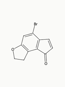 O=C1C=Cc2c(Br)cc3c(c21)CCO3